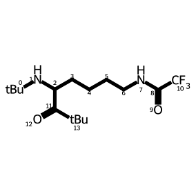 CC(C)(C)NC(CCCCNC(=O)C(F)(F)F)C(=O)C(C)(C)C